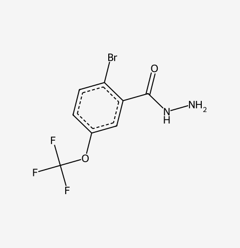 NNC(=O)c1cc(OC(F)(F)F)ccc1Br